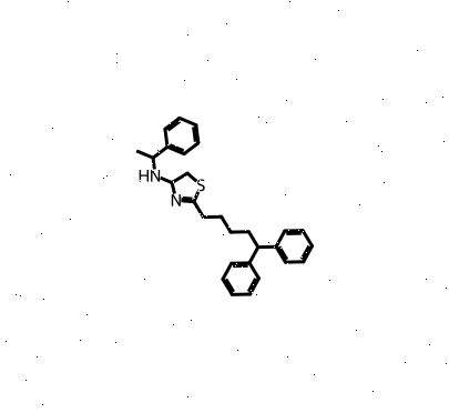 CC(NC1CSC(CCCCC(c2ccccc2)c2ccccc2)=N1)c1ccccc1